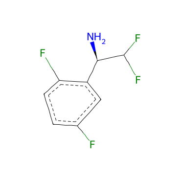 N[C@H](c1cc(F)ccc1F)C(F)F